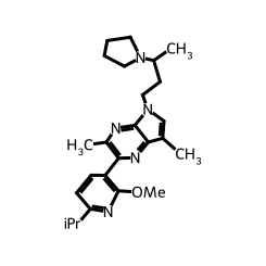 COc1nc(C(C)C)ccc1-c1nc2c(C)cn(CCC(C)N3CCCC3)c2nc1C